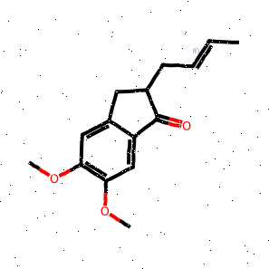 C/C=C/CC1Cc2cc(OC)c(OC)cc2C1=O